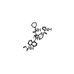 C=CC(=C)Nc1cccc2c(-c3nc(C(=C)NC4CCCCC4)c4n3CCN(C(=C)c3ccc[nH]3)C4)cccc12